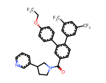 O=C(c1ccc(-c2cc(C(F)(F)F)cc(C(F)(F)F)c2)c(-c2ccc(OCC(F)(F)F)cc2)c1)N1CCC(c2cccnc2)C1